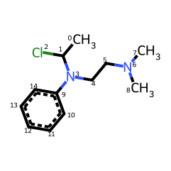 CC(Cl)N(CCN(C)C)c1ccccc1